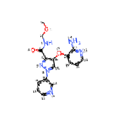 COCNC(=O)c1nn(-c2cccnc2)cc1Oc1cccnc1N